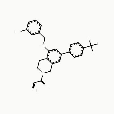 C=CC(=O)N1CCc2c(cc(-c3ccc(C(F)(F)F)cc3)cc2NCc2cccc(O)c2)C1